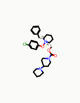 O=C(OC[C@H]1CCC[C@@H](Cc2ccccc2)N1Oc1ccc(Cl)cc1)N1CCC(N2CCCCC2)CC1